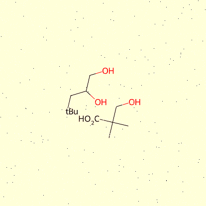 CC(C)(C)CC(O)CO.CC(C)(CO)C(=O)O